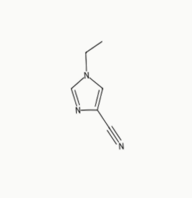 CCn1cnc(C#N)c1